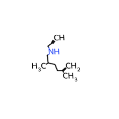 C#CCNCC(C)CCC(=C)C